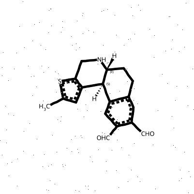 Cc1cc2c(s1)CN[C@@H]1CCc3cc(C=O)c(C=O)cc3[C@@H]21